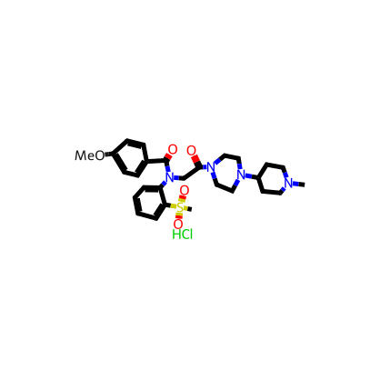 COc1ccc(C(=O)N(CC(=O)N2CCN(C3CCN(C)CC3)CC2)c2ccccc2S(C)(=O)=O)cc1.Cl